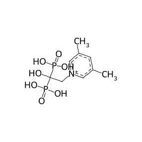 Cc1cc(C)c[n+](CC(O)(P(=O)(O)O)P(=O)(O)O)c1